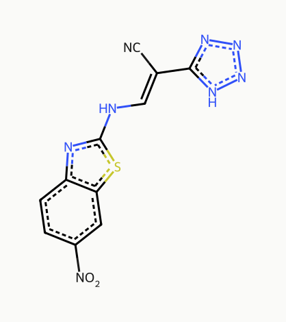 N#C/C(=C\Nc1nc2ccc([N+](=O)[O-])cc2s1)c1nnn[nH]1